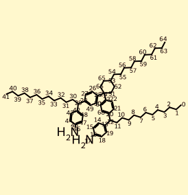 CCCCCCCCCCCCC(c1ccc(N)cc1)c1ccc(C2(c3ccc(C(CCCCCCCCCCCC)c4ccc(N)cc4)cc3)CCC(CCCCCCCCCCC)CC2)cc1